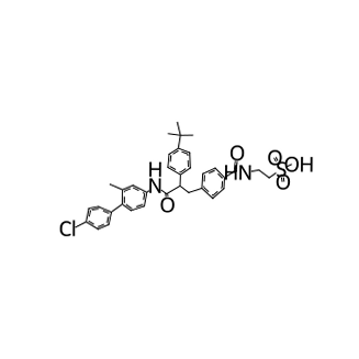 Cc1cc(NC(=O)C(Cc2ccc(C(=O)NCCS(=O)(=O)O)cc2)c2ccc(C(C)(C)C)cc2)ccc1-c1ccc(Cl)cc1